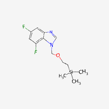 C[Si](C)(C)CCOCn1cnc2cc(F)cc(F)c21